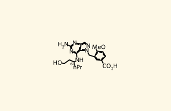 CCC[C@@H](CCO)Nc1nc(N)nc2cnn(Cc3cc(C(=O)O)ccc3OC)c12